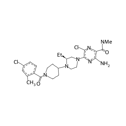 CC[C@H]1CN(c2nc(N)c(C(=O)NC)nc2Cl)CCN1C1CCN(C(=O)c2ccc(Cl)cc2C)CC1